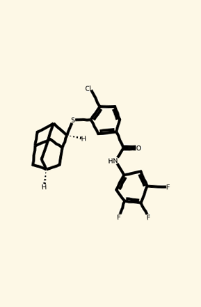 O=C(Nc1cc(F)c(F)c(F)c1)c1ccc(Cl)c(S[C@H]2C3CC4CC2C[C@H](C4)C3)c1